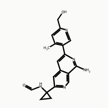 Cc1cc(CO)ncc1-c1cc2cc(C3(NC=O)CC3)ncc2c(N)n1